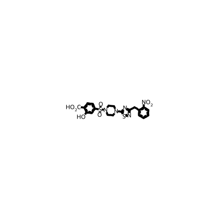 O=C(O)c1ccc(S(=O)(=O)N2CCN(c3nc(Cc4ccccc4[N+](=O)[O-])ns3)CC2)cc1O